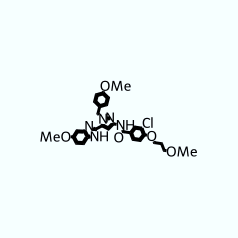 COCCCOc1ccc(C(=O)Nc2cc(-c3nc4cc(OC)ccc4[nH]3)n(Cc3ccc(OC)cc3)n2)cc1Cl